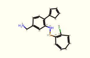 NCc1ccc(C2=CC=CC2)c(NSC2=C(F)C=CCC=C2)c1